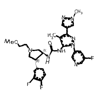 COCCN1C[C@@H](NC(=O)Nc2c(C)c(-c3cnn(C)c3)nn2-c2cncc(F)c2)[C@H](c2ccc(F)c(F)c2)C1